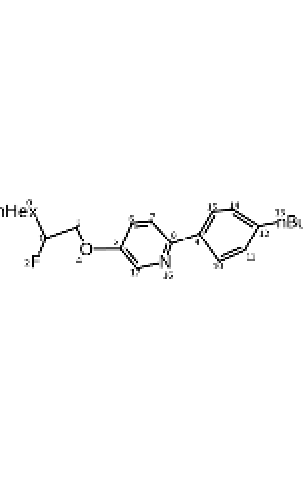 CCCCCCC(F)COc1ccc(-c2ccc(CCCC)cc2)nc1